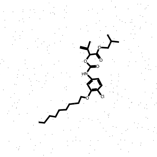 C=C(C)C(OC(=O)Nc1ccc(Cl)c(OCCCCCCCCC)c1)C(=O)OCC(C)C